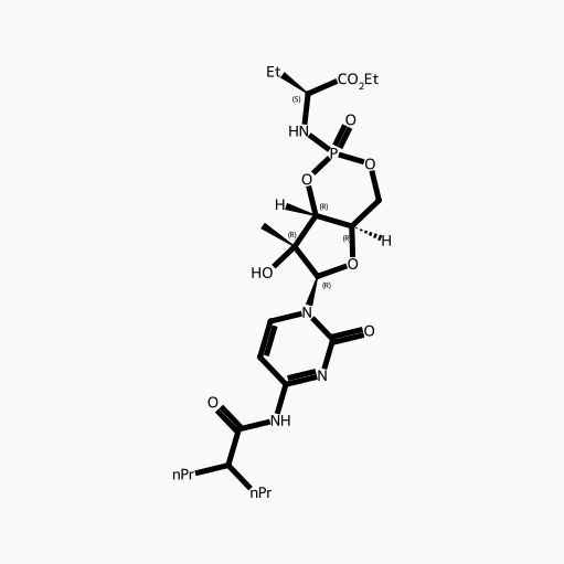 CCCC(CCC)C(=O)Nc1ccn([C@@H]2O[C@@H]3COP(=O)(N[C@@H](CC)C(=O)OCC)O[C@H]3[C@@]2(C)O)c(=O)n1